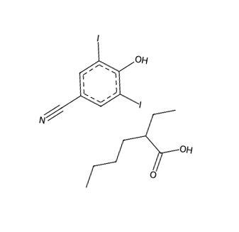 CCCCC(CC)C(=O)O.N#Cc1cc(I)c(O)c(I)c1